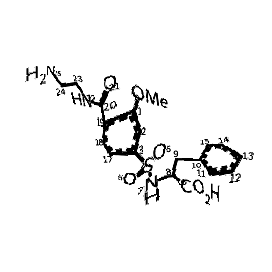 COc1cc(S(=O)(=O)NC(Cc2ccccc2)C(=O)O)ccc1C(=O)NCCN